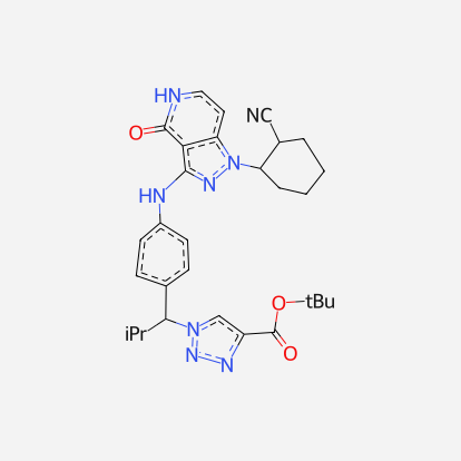 CC(C)C(c1ccc(Nc2nn(C3CCCCC3C#N)c3cc[nH]c(=O)c23)cc1)n1cc(C(=O)OC(C)(C)C)nn1